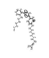 CCCCCCCc1ccccc1C1OC=C(c2ccc(CCCCCCCCCC3CC3)nc2)O1